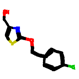 OCc1csc(OCc2ccc(Cl)cc2)n1